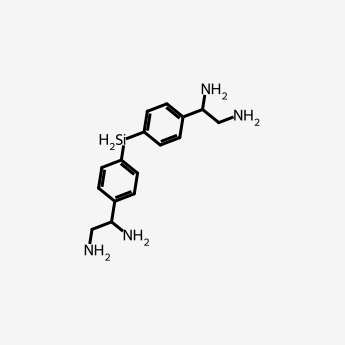 NCC(N)c1ccc([SiH2]c2ccc(C(N)CN)cc2)cc1